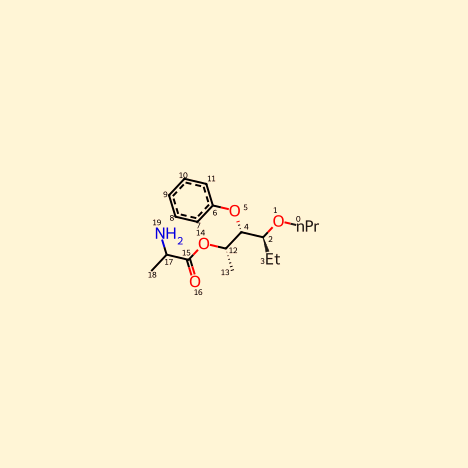 CCCO[C@@H](CC)[C@@H](Oc1ccccc1)[C@H](C)OC(=O)C(C)N